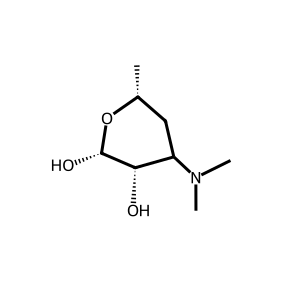 C[C@@H]1CC(N(C)C)[C@H](O)[C@H](O)O1